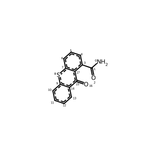 NC(=O)c1cccc2sc3ccccc3c(=O)c12